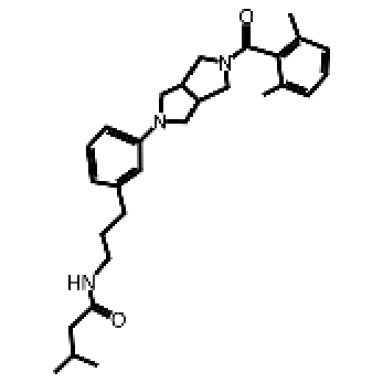 Cc1cccc(C)c1C(=O)N1CC2CN(c3cccc(CCCNC(=O)CC(C)C)c3)CC2C1